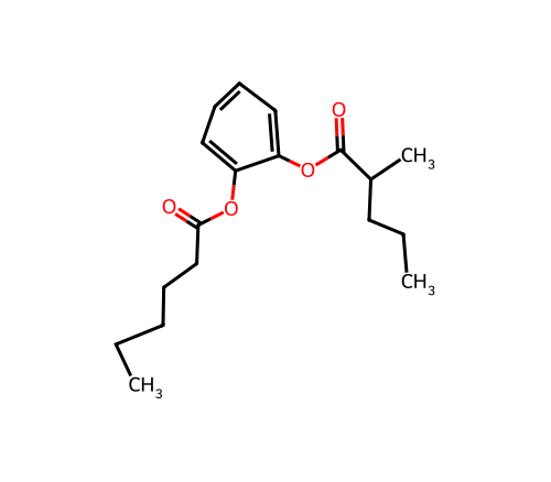 CCCCCC(=O)Oc1ccccc1OC(=O)C(C)CCC